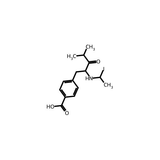 CC(I)NC(Cc1ccc(C(=O)O)cc1)C(=O)C(C)C